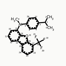 CC(C)c1ccc(N(C)c2cccc3c2oc2c(C(F)(F)F)cccc23)cc1